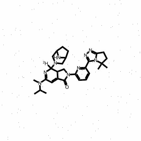 [2H]C1(N2CC3CCC(C2)N3)N=C(N(C)C(C)C)C=C2C(=O)N(c3cccc(-c4nnc5n4C(C)(C)CC5)n3)CC21